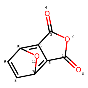 O=C1OC(=O)c2c1c1ccc2o1